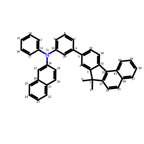 CC1(C)c2cc(-c3cccc(N(c4ccccc4)c4ccc5ccccc5c4)c3)ccc2-c2c1ccc1ccccc21